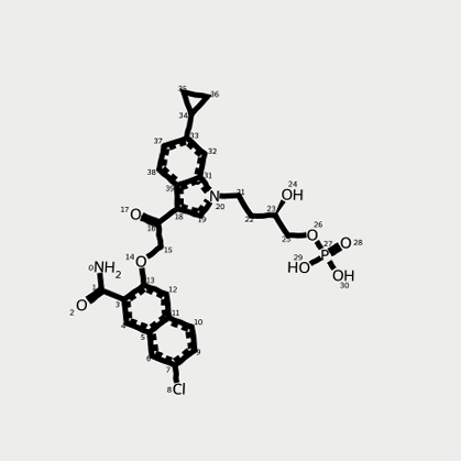 NC(=O)c1cc2cc(Cl)ccc2cc1OCC(=O)c1cn(CC[C@@H](O)COP(=O)(O)O)c2cc(C3CC3)ccc12